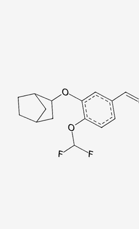 O=Cc1ccc(OC(F)F)c(OC2CC3CCC2C3)c1